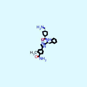 Cc1cc(-c2c[nH]c([C@H](Cc3ccccc3)NC(=O)[C@H]3CC[C@H](CN)CC3)n2)ccc1C(N)=O